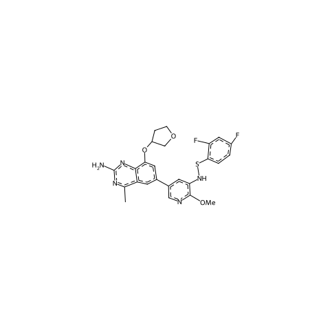 COc1ncc(-c2cc(OC3CCOC3)c3nc(N)nc(C)c3c2)cc1NSc1ccc(F)cc1F